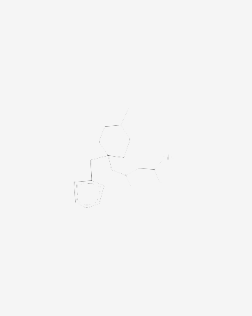 CCCCC(CC)CC(CC1(Cc2ccccc2)CCC(C)CC1)C(=O)O